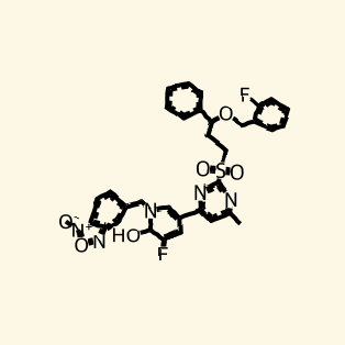 Cc1cc(C2=CN(Cc3ccc4c(c3)no[n+]4[O-])C(O)C(F)=C2)nc(S(=O)(=O)CCC(OCc2ccccc2F)c2ccccc2)n1